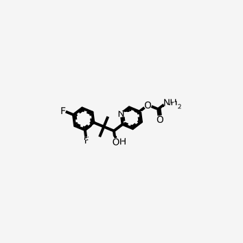 CC(C)(c1ccc(F)cc1F)C(O)c1ccc(OC(N)=O)cn1